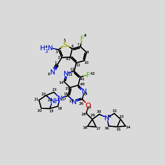 N#Cc1c(N)sc2c(F)ccc(-c3ncc4c(N5CC6CCC(C5)N6)nc(OCC5(CN6CC7CC7C6)CC5)nc4c3F)c12